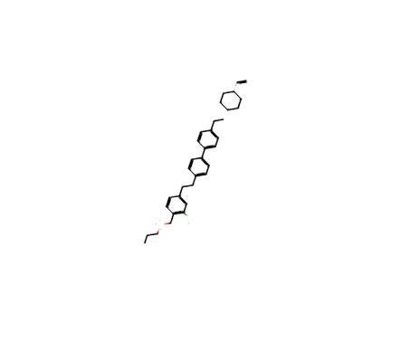 C=C[C@H]1CC[C@H](CCc2ccc(-c3ccc(CCc4ccc(COCCC)c(F)c4)cc3)cc2)CC1